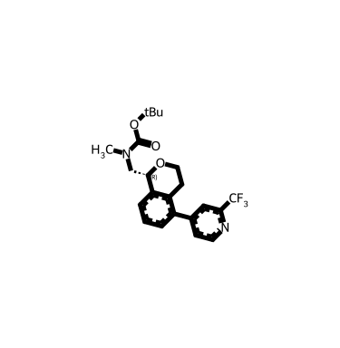 CN(C[C@@H]1OCCc2c(-c3ccnc(C(F)(F)F)c3)cccc21)C(=O)OC(C)(C)C